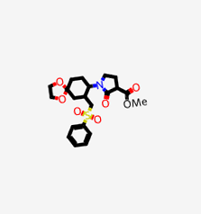 COC(=O)C1CCN(C2CCC3(CC2CS(=O)(=O)c2ccccc2)OCCO3)C1=O